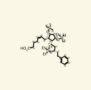 CC[Si](CC)(CC)O[C@@H](CCc1ccccc1)CC[C@@H]1[C@@H](C/C=C\CCCC(=O)O)[C@@H](O[Si](C)(C)C)C[C@H]1O[Si](CC)(CC)CC